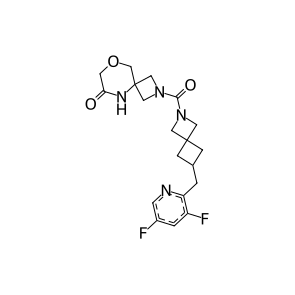 O=C1COCC2(CN(C(=O)N3CC4(CC(Cc5ncc(F)cc5F)C4)C3)C2)N1